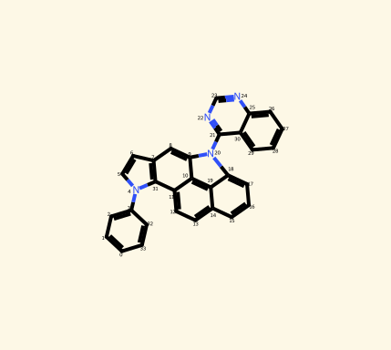 c1ccc(-n2ccc3cc4c5c(ccc6cccc(c65)n4-c4ncnc5ccccc45)c32)cc1